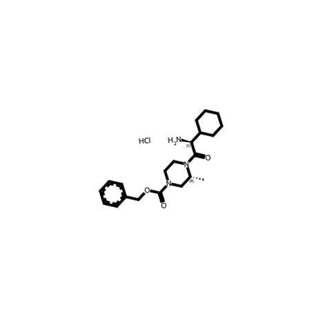 C[C@@H]1CN(C(=O)OCc2ccccc2)CCN1C(=O)[C@@H](N)C1CCCCC1.Cl